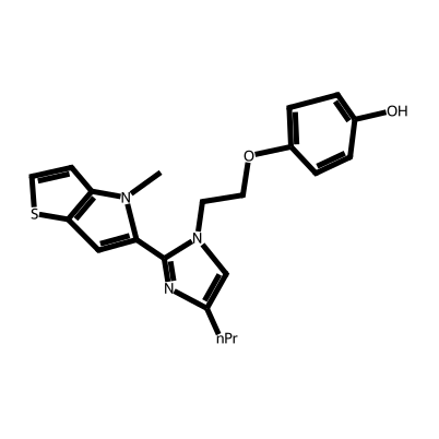 CCCc1cn(CCOc2ccc(O)cc2)c(-c2cc3sccc3n2C)n1